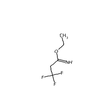 CCOC(=N)CC(F)(F)F